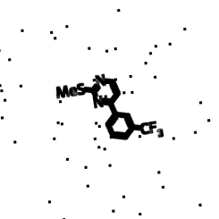 CSc1nccc(-c2cccc(C(F)(F)F)c2)n1